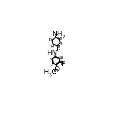 COc1ccc(NCC2CCC(N)CC2)cc1F